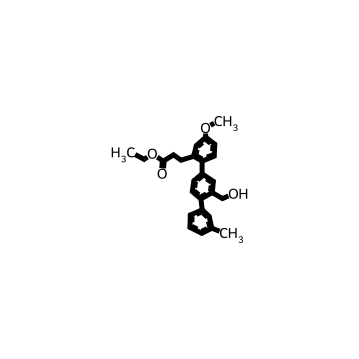 CCOC(=O)CCc1cc(OC)ccc1-c1ccc(-c2cccc(C)c2)c(CO)c1